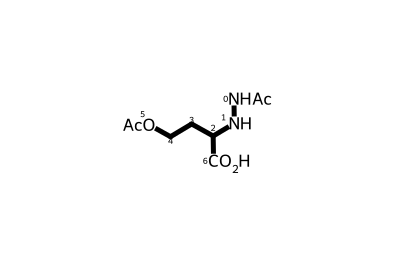 CC(=O)NNC(CCOC(C)=O)C(=O)O